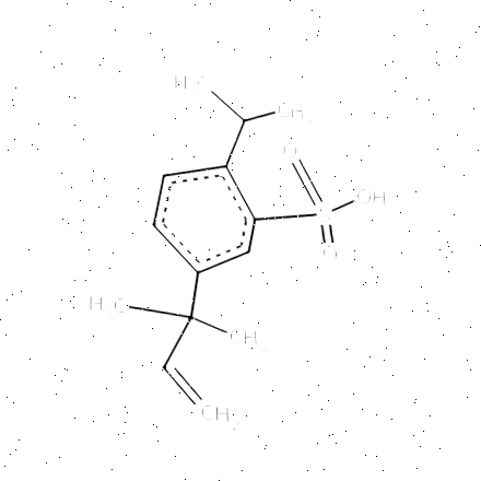 C=CC(C)(C)c1ccc(C(C)C)c(S(=O)(=O)O)c1